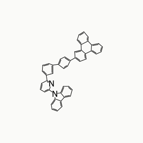 c1cc(-c2ccc(-c3ccc4c5ccccc5c5ccccc5c4c3)cc2)cc(-c2cccc(-n3c4ccccc4c4ccccc43)n2)c1